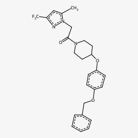 Cc1cc(C(F)(F)F)nn1CC(=O)N1CCC(Oc2ccc(OCc3ccccc3)cc2)CC1